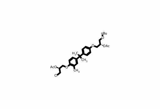 CCCCOC[C@@H](COc1ccc(C(C)(C)c2ccc(OC[C@@H](CCl)OC(C)=O)c(C)c2)cc1)OC(C)=O